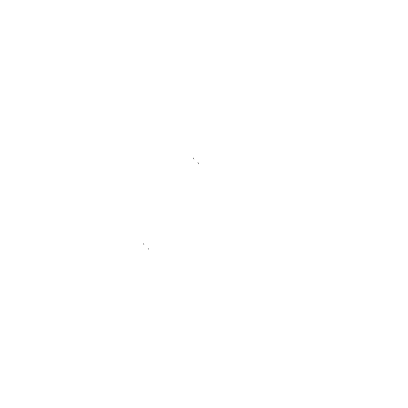 CN(C)C(=Cc1ccccc1)CC[n+]1ccccc1.[I-]